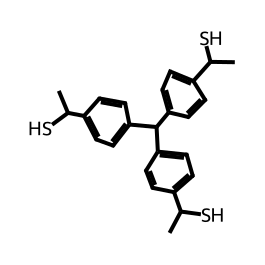 CC(S)c1ccc(C(c2ccc(C(C)S)cc2)c2ccc(C(C)S)cc2)cc1